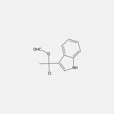 CC(Cl)(OC=O)c1c[nH]c2ccccc12